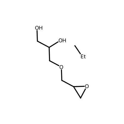 CCC.OCC(O)COCC1CO1